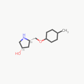 CC1CCC(OC[C@@H]2C[C@H](O)CN2)CC1